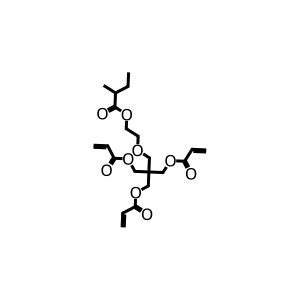 C=CC(=O)OCC(COCCOC(=O)C(C)CC)(COC(=O)C=C)COC(=O)C=C